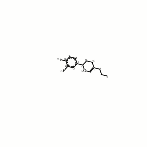 CCCC1=COC(c2ccc(I)c(F)c2)CC1